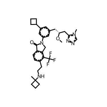 CO[C@H](Cc1cc(C2CCC2)cc(N2Cc3c(ccc(CCNC4(C)CCC4)c3C(F)(F)F)C2=O)c1)Cc1nncn1C